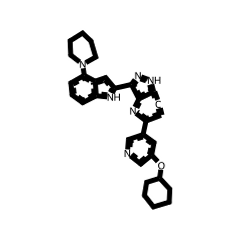 c1cc(N2CCCCC2)c2cc(-c3n[nH]c4ccc(-c5cncc(OC6CCCCC6)c5)nc34)[nH]c2c1